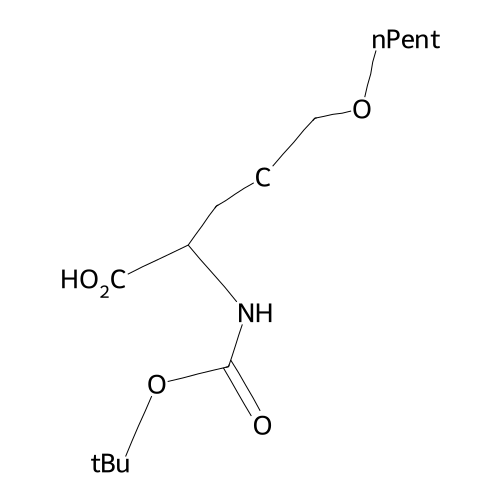 CCCCCOCCCC(NC(=O)OC(C)(C)C)C(=O)O